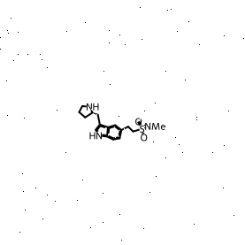 CNS(=O)(=O)CCc1ccc2[nH]cc(C[C@H]3CCCN3)c2c1